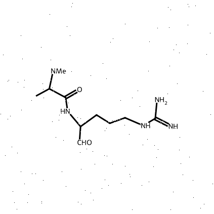 CNC(C)C(=O)NC(C=O)CCCNC(=N)N